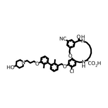 Cc1c(COc2cc3c(cc2Cl)CN[C@H](C(=O)O)CCCCCNC(=O)c2cc(C#N)cc(c2)CO3)cccc1-c1cccc(OCCCN2CCC(O)CC2)c1C